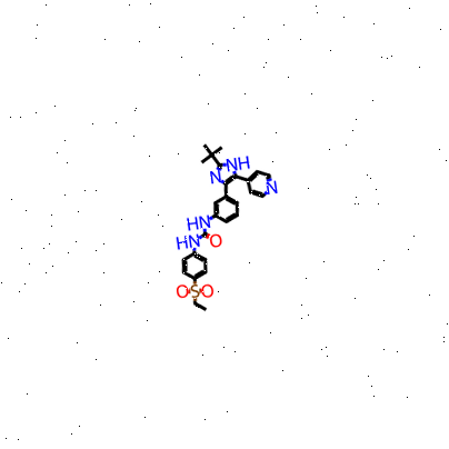 CCS(=O)(=O)c1ccc(NC(=O)Nc2cccc(-c3nc(C(C)(C)C)[nH]c3-c3ccncc3)c2)cc1